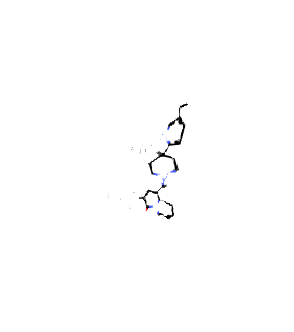 C=Cc1ccc(C2(C#N)CCN(Cc3cc(C(=O)O)c(=O)n4ccccc34)CC2)nc1